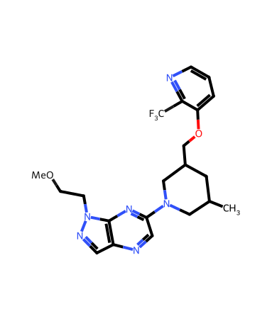 COCCn1ncc2ncc(N3CC(C)CC(COc4cccnc4C(F)(F)F)C3)nc21